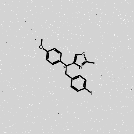 COc1ccc([C@H](Cc2ccc(I)cc2)c2csc(C)n2)cc1